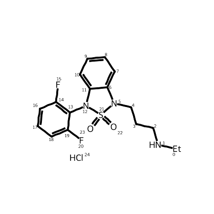 CCNCCCN1c2ccccc2N(c2c(F)cccc2F)S1(=O)=O.Cl